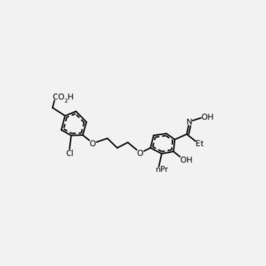 CCCc1c(OCCCOc2ccc(CC(=O)O)cc2Cl)ccc(/C(CC)=N/O)c1O